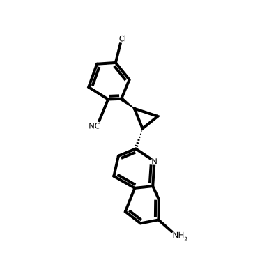 N#Cc1ccc(Cl)cc1[C@H]1C[C@@H]1c1ccc2ccc(N)cc2n1